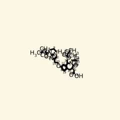 CC(C)(C)OC(=O)N1CCCn2cc(CCOc3ccc4c(c3)C(COC(=O)C(C)(C)C)N(CC(F)(F)F)C(=O)[C@H](CC(=O)O)C4)nc21